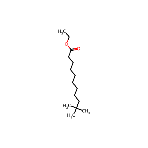 CCOC(=O)CCCCCCCCC(C)(C)C